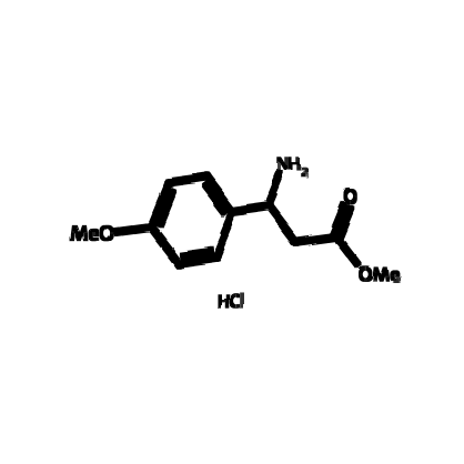 COC(=O)CC(N)c1ccc(OC)cc1.Cl